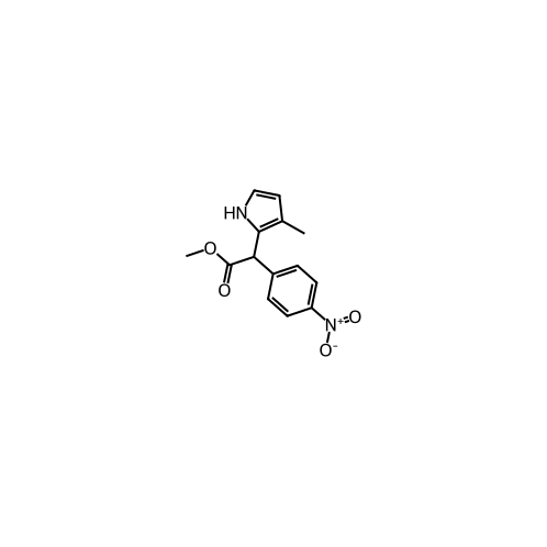 COC(=O)C(c1ccc([N+](=O)[O-])cc1)c1[nH]ccc1C